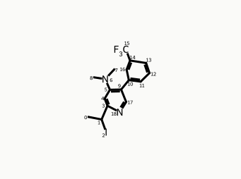 CC(I)c1cc(N(C)C)c(-c2cccc(C(F)(F)F)c2)cn1